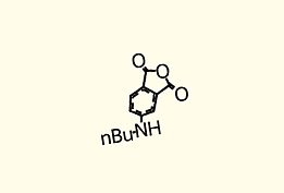 CCCCNc1ccc2c(c1)C(=O)OC2=O